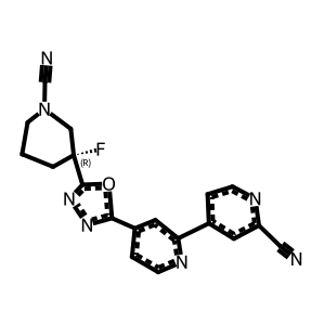 N#Cc1cc(-c2cc(-c3nnc([C@@]4(F)CCCN(C#N)C4)o3)ccn2)ccn1